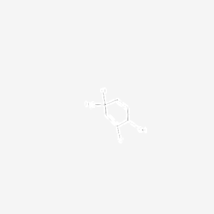 CC1(Cl)C=CC(O)C(Cl)=C1